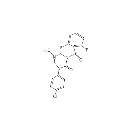 CN1CN(C(=O)c2c(F)cccc2F)C(=O)N(c2ccc(Cl)cc2)C1